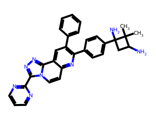 CC1(C)C(N)CC1(N)c1ccc(-c2nc3ccn4c(-c5ncccn5)nnc4c3cc2-c2ccccc2)cc1